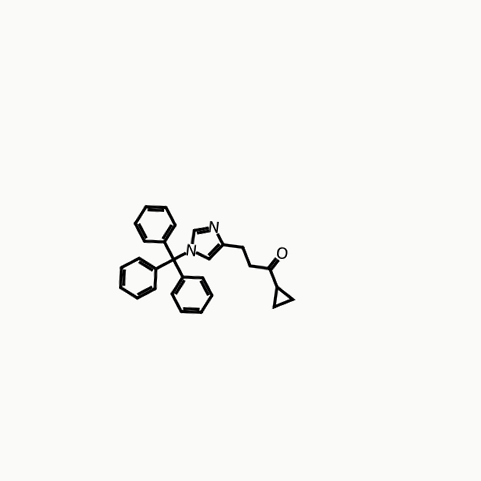 O=C(CCc1cn(C(c2ccccc2)(c2ccccc2)c2ccccc2)cn1)C1CC1